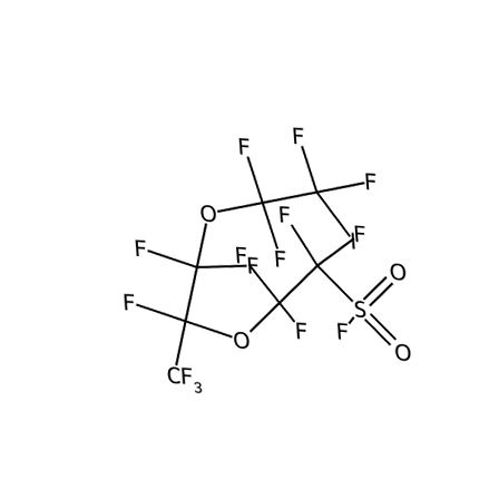 O=S(=O)(F)C(F)(F)C(F)(F)OC(F)(C(F)(F)F)C(F)(F)OC(F)(F)C(F)(F)I